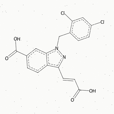 O=C(O)/C=C/c1nn(Cc2ccc(Cl)cc2Cl)c2cc(C(=O)O)ccc12